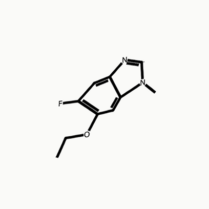 CCOc1cc2c(cc1F)n[c]n2C